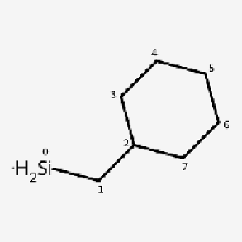 [SiH2]CC1CCCCC1